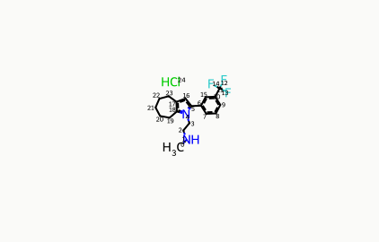 CNCCn1c(-c2cccc(C(F)(F)F)c2)cc2c1CCCCC2.Cl